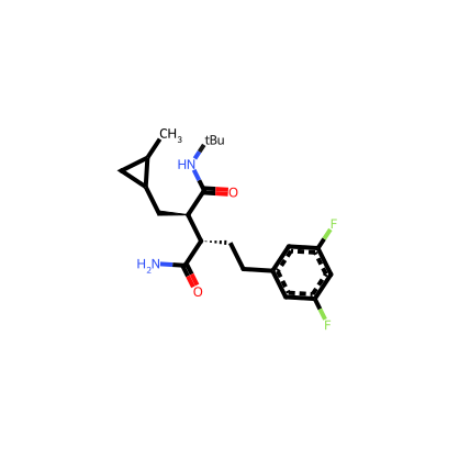 CC1CC1C[C@@H](C(=O)NC(C)(C)C)[C@H](CCc1cc(F)cc(F)c1)C(N)=O